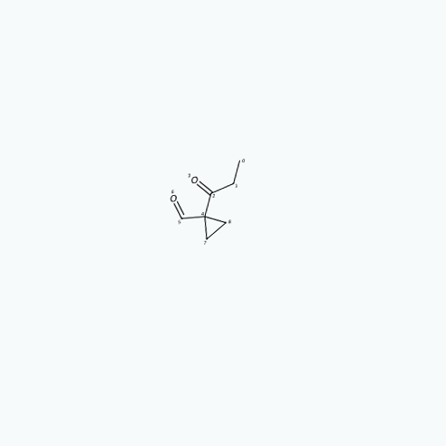 CCC(=O)C1(C=O)CC1